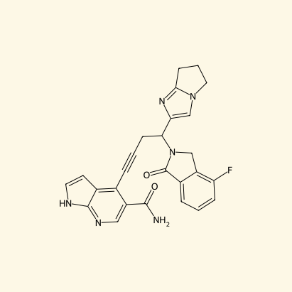 NC(=O)c1cnc2[nH]ccc2c1C#CCC(c1cn2c(n1)CCC2)N1Cc2c(F)cccc2C1=O